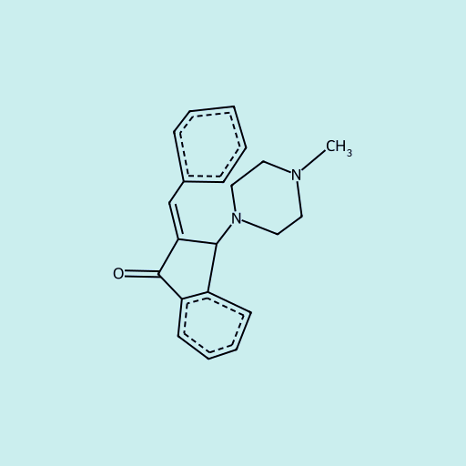 CN1CCN(C2/C(=C\c3ccccc3)C(=O)c3ccccc32)CC1